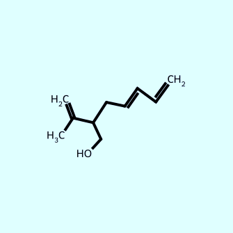 C=CC=CCC(CO)C(=C)C